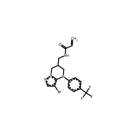 C=CC(=O)NCC1CN(c2ccc(C(F)(F)F)cc2)c2c(Br)cnn2C1